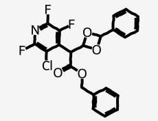 O=C(OCc1ccccc1)C(c1c(F)c(F)nc(F)c1Cl)C1OC(c2ccccc2)O1